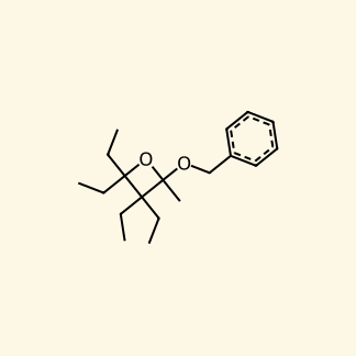 CCC1(CC)OC(C)(OCc2ccccc2)C1(CC)CC